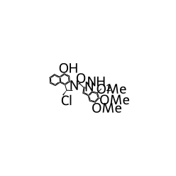 COc1cc2cc(C(=O)N3C[C@@H](CCl)c4c3cc(O)c3ccccc43)n(N)c2c(OC)c1OC